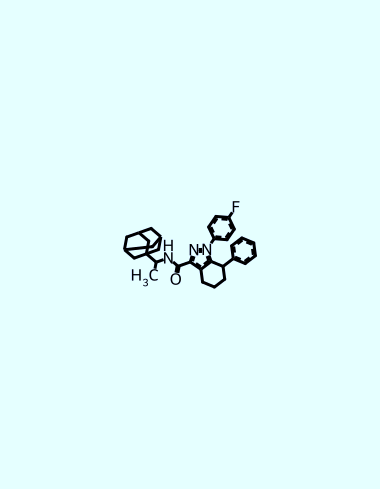 CC(NC(=O)c1nn(-c2ccc(F)cc2)c2c1CCCC2c1ccccc1)C12CC3CC(CC(C3)C1)C2